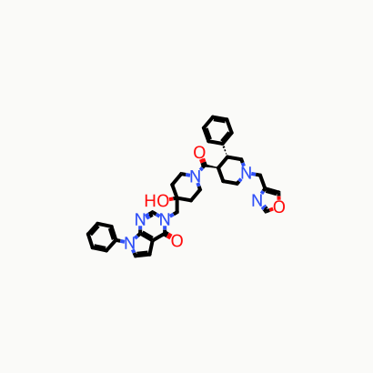 O=C([C@@H]1CCN(Cc2cocn2)C[C@H]1c1ccccc1)N1CCC(O)(Cn2cnc3c(ccn3-c3ccccc3)c2=O)CC1